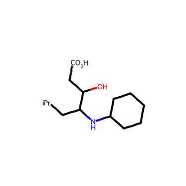 CC(C)CC(NC1CCCCC1)C(O)CC(=O)O